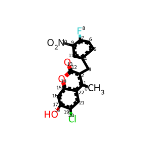 Cc1c(Cc2ccc(F)c([N+](=O)[O-])c2)c(=O)oc2cc(O)c(Cl)cc12